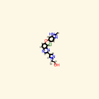 Cc1nc2ccc(Oc3ccc4ncc(-c5cnn([C@@H](C)CO)c5)nc4c3Cl)cc2[nH]1